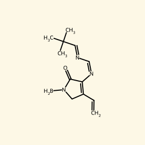 BN1CC(C=C)=C(/N=C\N=C\C(C)(C)C)C1=O